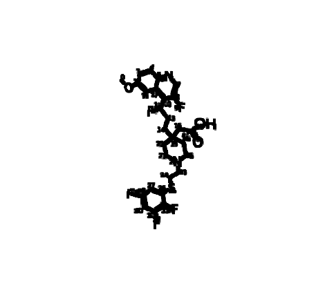 COc1ccc2ncc(F)c([C@H](F)CCC3(CC(=O)O)CCN(CCSc4cc(F)cc(F)c4F)CC3)c2c1